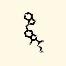 CCOC(=O)c1sc2cc(Cn3cnc4ccncc43)ccc2c1Cl